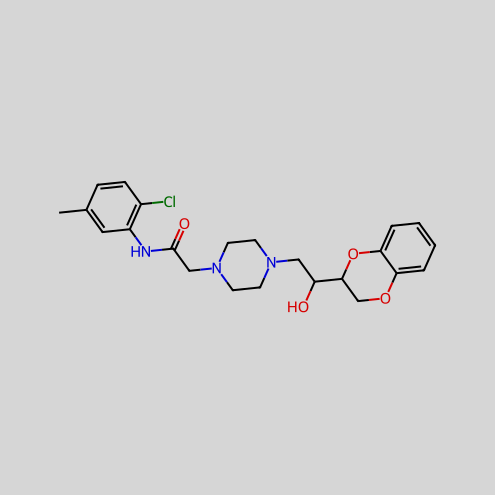 Cc1ccc(Cl)c(NC(=O)CN2CCN(CC(O)C3COc4ccccc4O3)CC2)c1